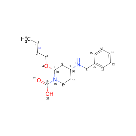 C/C=C/CO[C@@H]1C[C@H](NCc2ccccc2)CCN1C(=O)O